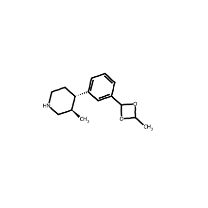 CC1OC(c2cccc([C@H]3CCNC[C@@H]3C)c2)O1